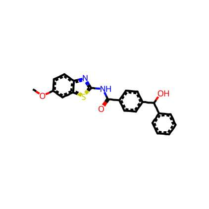 COc1ccc2nc(NC(=O)c3ccc(C(O)c4ccccc4)cc3)sc2c1